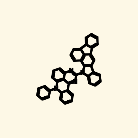 c1ccc(N2c3ccccc3-c3nc(-n4c5ccccc5c5cc6c7c(cccc7c54)-c4ccccc4-6)nc4cccc2c34)cc1